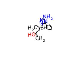 C=C/C(Bc1nnc(N)nc1-c1ccccc1)=C\C=C(\O)C=C